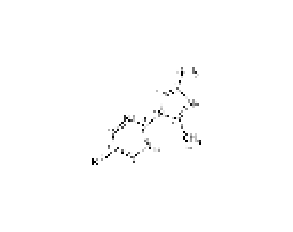 Cc1cn(-c2ncc(Br)cn2)c(C)n1